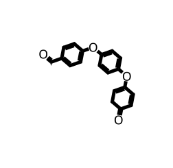 O=[C]c1ccc(Oc2ccc(OC3=CCC(=O)C=C3)cc2)cc1